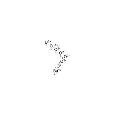 [Ba+2].[Cu+2].[O-2].[O-2].[O-2].[O-2].[O-2].[U+6]